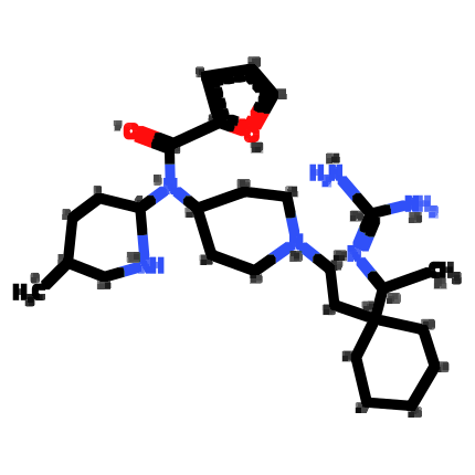 CC1CCC(N(C(=O)c2ccco2)C2CCN(CCC3(C(C)N=C(N)N)CCCCC3)CC2)NC1